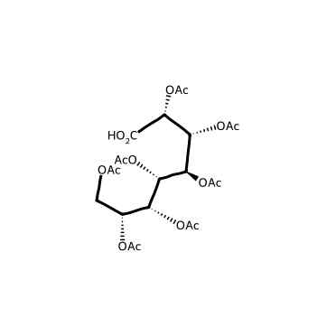 CC(=O)OC[C@@H](OC(C)=O)[C@@H](OC(C)=O)[C@H](OC(C)=O)[C@H](OC(C)=O)[C@@H](OC(C)=O)[C@@H](OC(C)=O)C(=O)O